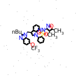 CCCCc1nc2ccc(OC(F)(F)F)cc2n1Cc1cn(-c2ccccc2S(=O)(=O)Nc2noc(C)c2C)c2ccccc12